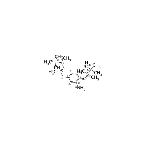 CC(C[C@@H](C)Cc1ccc(O[Si](C)(C)C(C)(C)C)c(N)c1)C(C)(C)C